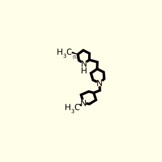 C[C@H]1CCC(CC2CCN(CC3CCN(C)CC3)CC2)NC1